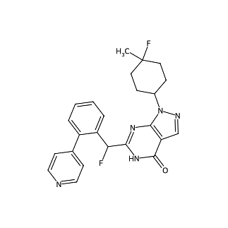 CC1(F)CCC(n2ncc3c(=O)[nH]c(C(F)c4ccccc4-c4ccncc4)nc32)CC1